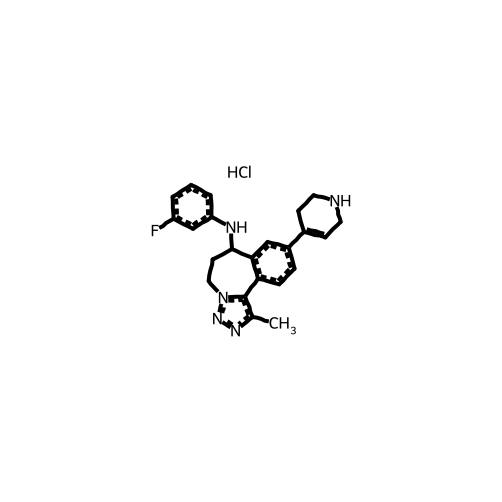 Cc1nnn2c1-c1ccc(C3=CCNCC3)cc1C(Nc1cccc(F)c1)CC2.Cl